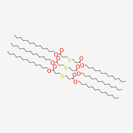 CCCCCCCCCCCCCOC(=O)CCSCCC(=O)OCCCCCCCCCCCCC.CCCCCCCCCCCCCOC(=O)CCSCCC(=O)OCCCCCCCCCCCCC.CCCCCCCCCCCCCOC(=O)CCSCCC(=O)OCCCCCCCCCCCCC